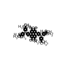 CC(C)(C)c1ccc(N(c2ccc(-c3cc4c5c(ccc6c7c(-c8ccc(N(c9ccc(C(C)(C)C)cc9)c9ccc(C(C)(C)C)cc9)cc8)cc8c9c(ccc(c3c56)c97)C(=O)OC8=O)C(=O)OC4=O)cc2)c2ccc(C(C)(C)C)cc2)cc1